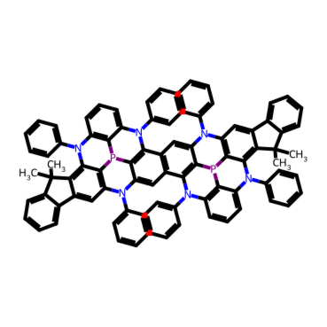 CC1(C)c2ccccc2-c2cc3c4c(c21)n(-c1ccccc1)c1cccc2c1p4c1c(cc4c(cc5c6c4n(-c4ccccc4)c4cccc7c4p6c4c(cc6c(c4n7-c4ccccc4)C(C)(C)c4ccccc4-6)n5-c4ccccc4)c1n2-c1ccccc1)n3-c1ccccc1